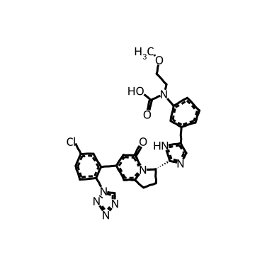 COCCN(C(=O)O)c1cccc(-c2cnc([C@@H]3CCc4cc(-c5cc(Cl)ccc5-n5cnnn5)cc(=O)n43)[nH]2)c1